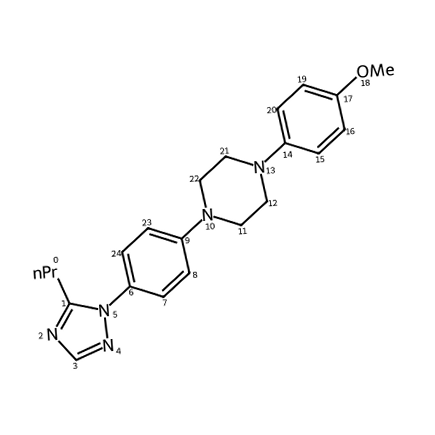 CCCc1ncnn1-c1ccc(N2CCN(c3ccc(OC)cc3)CC2)cc1